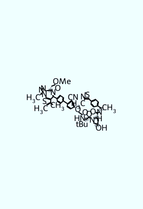 COC(=O)C[C@@H]1N=C(c2ccc(-c3ccc(OCC(=O)N[C@H](C(=O)N4C[C@H](O)C[C@H]4C(=O)N[C@@H](C)c4ccc(-c5scnc5C)cc4)C(C)(C)C)cc3C#N)cc2)c2c(sc(C)c2C)-n2c(C)nnc21